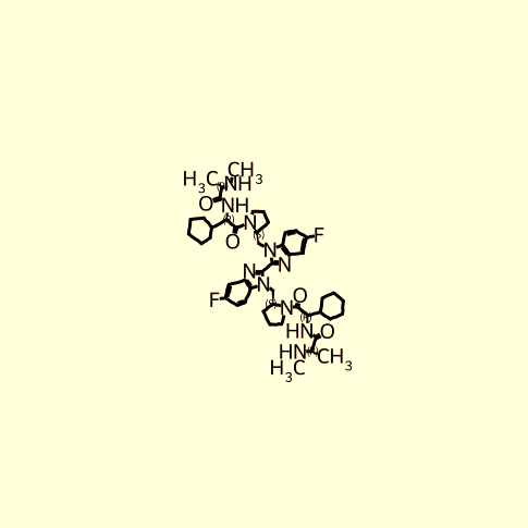 CN[C@H](C)C(=O)N[C@@H](C(=O)N1CCC[C@H]1Cn1c(-c2nc3cc(F)ccc3n2C[C@@H]2CCCN2C(=O)[C@H](NC(=O)[C@@H](C)NC)C2CCCCC2)nc2cc(F)ccc21)C1CCCCC1